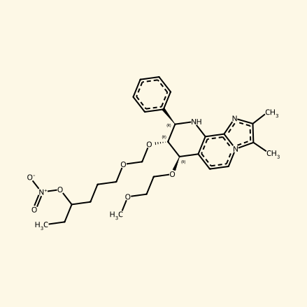 CCC(CCCOCO[C@@H]1[C@@H](c2ccccc2)Nc2c(ccn3c(C)c(C)nc23)[C@H]1OCCOC)O[N+](=O)[O-]